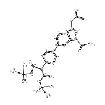 CC(=O)c1nn(CC(=O)O)c2ccc(-c3cnc(N(C(=O)OC(C)(C)C)C(=O)OC(C)(C)C)nc3)cc12